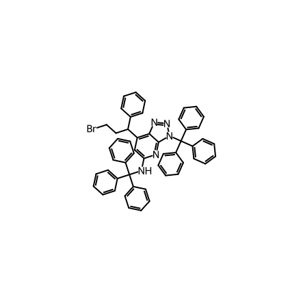 BrCCC(c1ccccc1)c1cc(NC(c2ccccc2)(c2ccccc2)c2ccccc2)nc2c1nnn2C(c1ccccc1)(c1ccccc1)c1ccccc1